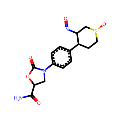 NC(=O)C1CN(c2ccc(C3CC[S+]([O-])CC3N=O)cc2)C(=O)O1